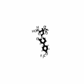 CC(CCn1ccc(-c2ccc(OC(F)(F)F)cc2)cc1=O)(C(=O)NO)S(C)(=O)=O